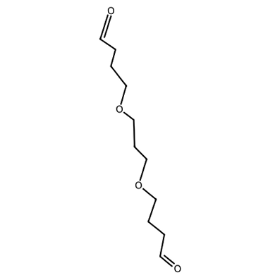 O=CCCCOCCCOCCCC=O